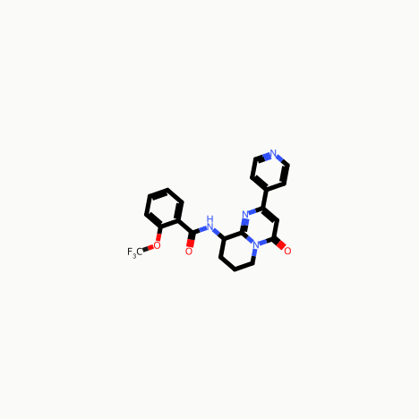 O=C(NC1CCCn2c1nc(-c1ccncc1)cc2=O)c1ccccc1OC(F)(F)F